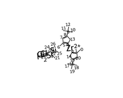 CC1=[C]([Zr+2][C]2=C(C)C=C(C(C)(C)C)C2)CC(C(C)(C)C)=C1.C[SiH2][Si](C)(C)C.[Cl-].[Cl-]